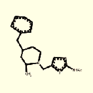 CC(=O)Nc1ncc(CN2CCC(Cc3ccccc3)CC2C)s1